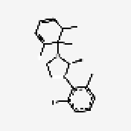 Cc1cccc(F)c1N1CCN(C2(C)C(F)=CC=CC2C)[C@H]1C